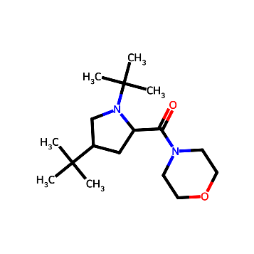 CC(C)(C)C1CC(C(=O)N2CCOCC2)N(C(C)(C)C)C1